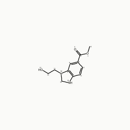 COC(=O)c1ccc2c(c1)N(CCO)CN2